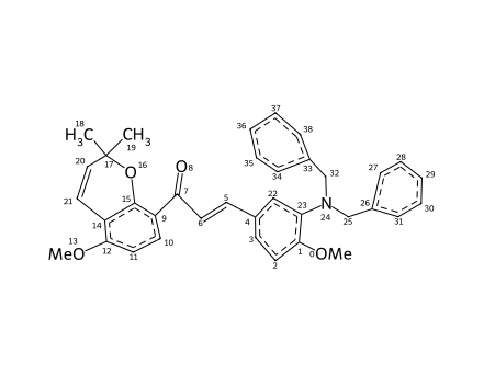 COc1ccc(/C=C/C(=O)c2ccc(OC)c3c2OC(C)(C)C=C3)cc1N(Cc1ccccc1)Cc1ccccc1